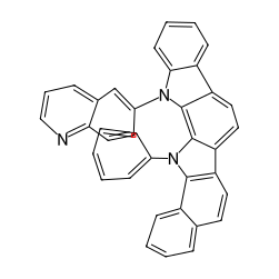 c1ccc(-n2c3c4ccccc4ccc3c3ccc4c5ccccc5n(-c5ccc6ncccc6c5)c4c32)cc1